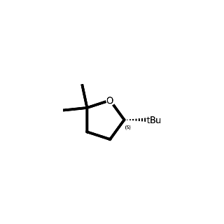 CC1(C)CC[C@@H](C(C)(C)C)O1